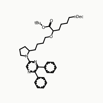 CCCCCCCCCCCCCCC(OCCCCC1CCCN1c1cnc(-c2ccccc2)c(-c2ccccc2)n1)C(=O)OC(C)(C)C